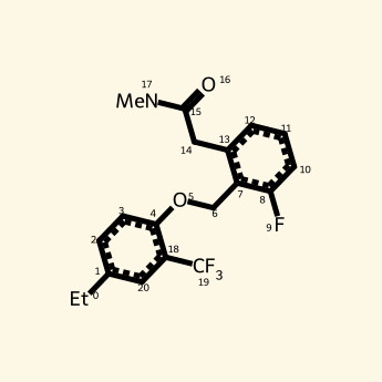 CCc1ccc(OCc2c(F)cccc2CC(=O)NC)c(C(F)(F)F)c1